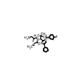 COCC(=O)N(C[C@@H](F)CN)[C@@H](c1nc(-c2ccccc2)cn1Cc1ccc(F)cc1)C(C)(C)C